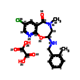 Cc1ccccc1CNC1CN(C)C(=O)c2cc(Cl)cnc2O1.O=C(O)C(=O)O